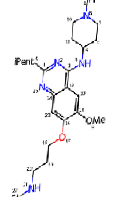 CCCC(C)c1nc(NC2CCN(C(C)C)CC2)c2cc(OC)c(OCCCNCC)cc2n1